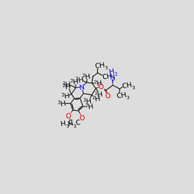 [2H]c1c(OC)c(OC)c([2H])c2c1C1N(C([2H])([2H])C2([2H])[2H])C([2H])([2H])C([2H])(CC(C)C)C([2H])(OC(=O)[C@@H](N)C(C)C)C1([2H])[2H]